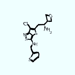 N[C@H](Cc1sc2c(NCc3cccs3)snc2c1Cl)C1COC1